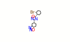 Brc1ccccc1-c1nc(-c2ccc3onnc3c2)no1